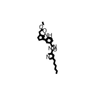 CCCCCCc1cncc(-c2nc(-c3ccc4[nH]c5c(c4c3)CCC5CC(=O)OCC)no2)c1